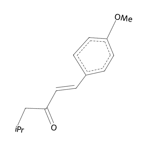 COc1ccc(C=CC(=O)CC(C)C)cc1